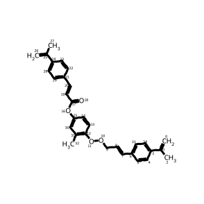 C=C(C)c1ccc(C=CCOOc2ccc(OC(=O)/C=C/c3ccc(C(=C)C)cc3)cc2C)cc1